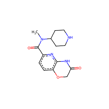 CN(C(=O)c1ccc2c(n1)NC(=O)CO2)C1CCNCC1